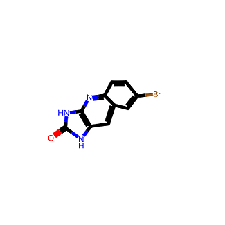 O=c1[nH]c2cc3cc(Br)ccc3nc2[nH]1